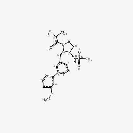 COc1cccc(-c2cccc(C[C@@H]3[C@H](NS(C)(=O)=O)CCN3C(=O)C(C)C)c2)c1